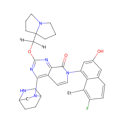 [2H]C([2H])(Oc1nc(N2CC3CCC2CN3)c2ccn(-c3cc(O)cc4ccc(F)c(CC)c34)c(=O)c2n1)C12CCCN1CCC2